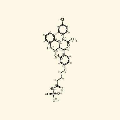 CC(=O)N(c1ccc(Cl)cc1)[C@H]1c2ccccc2N[C@@H](C)C1C(=O)c1ccc(OCCCC(=O)NS(C)(=O)=O)cc1